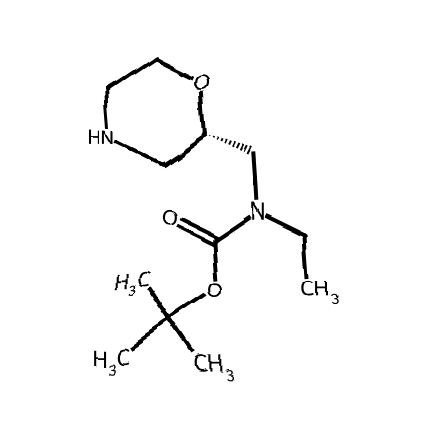 CCN(C[C@@H]1CNCCO1)C(=O)OC(C)(C)C